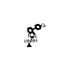 COc1ccc(-c2cccc3nc(NNC4CC4)ncc23)cc1